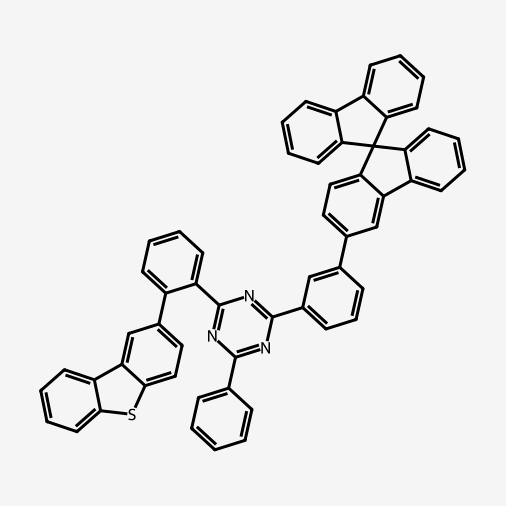 c1ccc(-c2nc(-c3cccc(-c4ccc5c(c4)-c4ccccc4C54c5ccccc5-c5ccccc54)c3)nc(-c3ccccc3-c3ccc4sc5ccccc5c4c3)n2)cc1